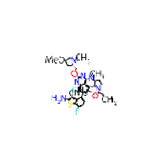 C=CC(=O)N1CC[C@@H](N(C)c2nc(OC[C@@H]3C[C@@H](OC)CN3C)nc3c(F)c(-c4ccc(F)c5sc(N)c(C#N)c45)ccc23)[C@H]1C